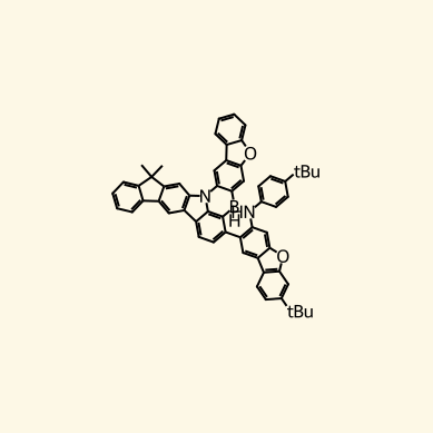 CC(C)(C)c1ccc(Nc2cc3oc4cc(C(C)(C)C)ccc4c3cc2-c2ccc3c4cc5c(cc4n4c3c2Bc2cc3oc6ccccc6c3cc2-4)C(C)(C)c2ccccc2-5)cc1